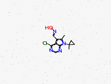 Cc1c(C=NO)c2c(Cl)ncnc2n1C1(C)CC1